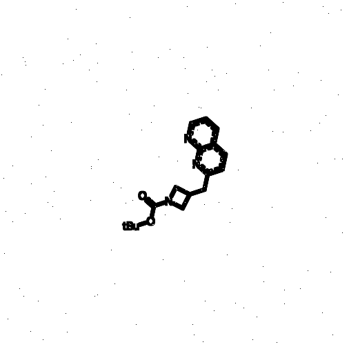 CC(C)(C)OC(=O)N1CC(Cc2ccc3cccnc3n2)C1